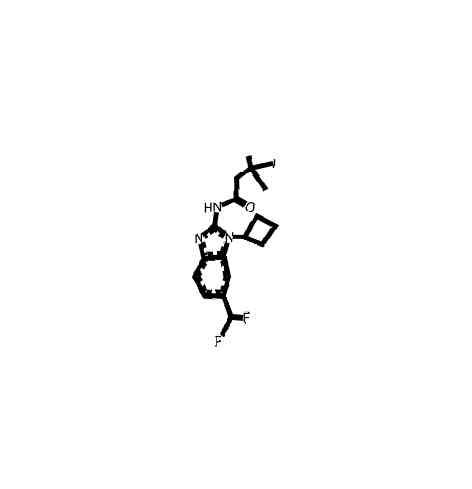 CC(C)(I)CC(=O)Nc1nc2ccc(C(F)F)cc2n1C1CCC1